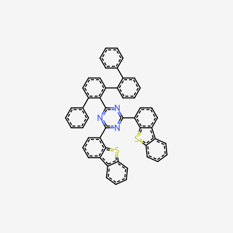 c1ccc(-c2ccccc2-c2cccc(-c3ccccc3)c2-c2nc(-c3cccc4c3sc3ccccc34)nc(-c3cccc4c3sc3ccccc34)n2)cc1